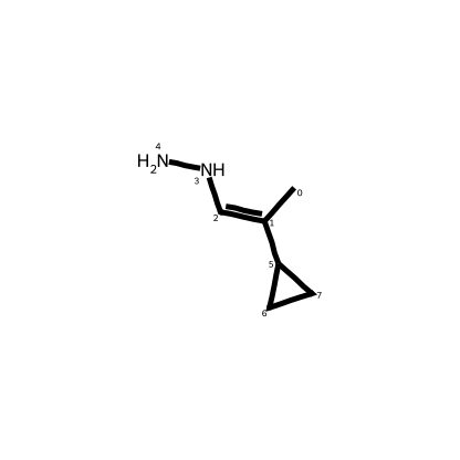 CC(=CNN)C1CC1